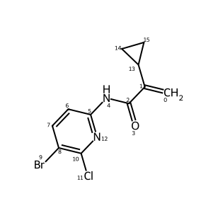 C=C(C(=O)Nc1ccc(Br)c(Cl)n1)C1CC1